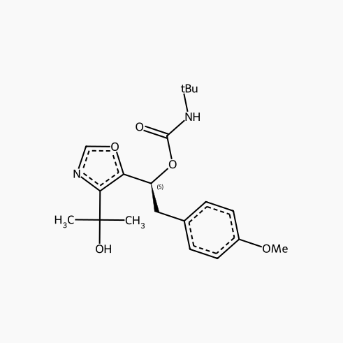 COc1ccc(C[C@H](OC(=O)NC(C)(C)C)c2ocnc2C(C)(C)O)cc1